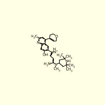 Cc1cc(C2=CCOCC2)c2cc(/C(N)=C/C=C(\N)N(C)C3CC(C)(C)NC(C)(C)C3)c(O)cc2n1